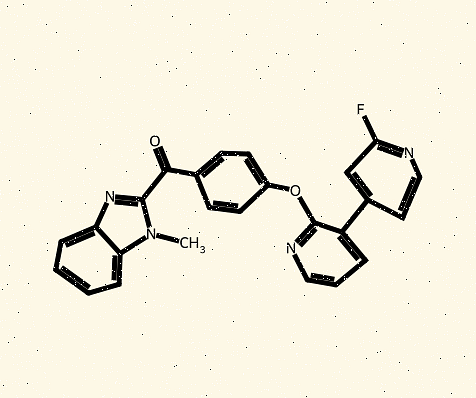 Cn1c(C(=O)c2ccc(Oc3ncccc3-c3ccnc(F)c3)cc2)nc2ccccc21